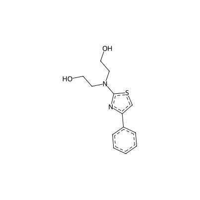 OCCN(CCO)c1nc(-c2ccccc2)cs1